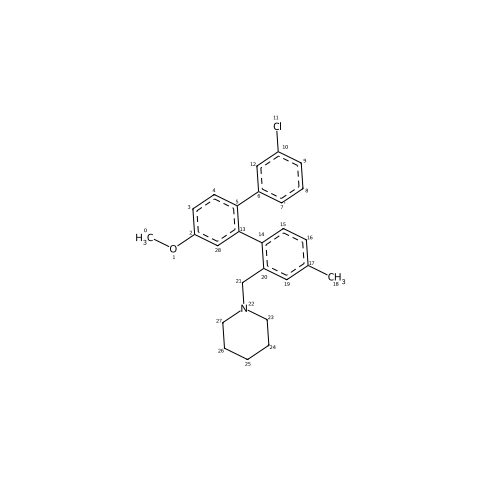 COc1ccc(-c2[c]ccc(Cl)c2)c(-c2ccc(C)cc2CN2CCCCC2)c1